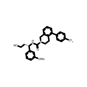 COc1cccc([C@H](CCC#N)NC(=O)N2CCc3c(cccc3-c3ccc(C(F)(F)F)cc3)C2)c1